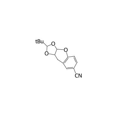 CC(C)(C)C1OC2Cc3cc(C#N)ccc3OC2O1